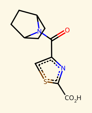 O=C(O)c1nc(C(=O)N2C3CCC2CC3)cs1